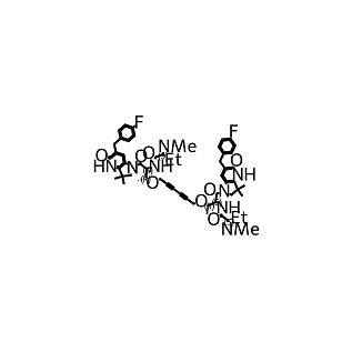 CC[C@H](NC)C(=O)N[C@H](C(=O)N1CC(C)(C)c2[nH]c(=O)c(Cc3ccc(F)cc3)cc21)[C@@H](C)OCC#CC#CCO[C@H](C)[C@H](NC(=O)[C@H](CC)NC)C(=O)N1CC(C)(C)c2[nH]c(=O)c(Cc3ccc(F)cc3)cc21